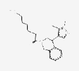 Cc1c(C2CN(C(=O)CCCCCC(F)(F)F)Cc3ccccc32)cnn1C